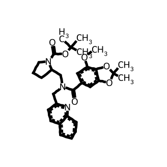 COc1cc(C(=O)N(Cc2ccc3ccccc3n2)CC2CCCN2C(=O)OC(C)(C)C)cc2c1OC(C)(C)O2